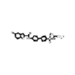 CC(C)[C@H](NS(=O)(=O)c1ccc(-c2ccc(NC(=O)c3cc4cc(Cl)ccc4o3)cc2)cc1)C(=O)O